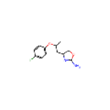 CC(CC1COC(N)=N1)Oc1ccc(F)cc1